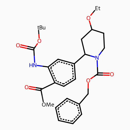 CCOC1CCN(C(=O)OCc2ccccc2)C(c2ccc(C(=O)OC)c(NC(=O)OC(C)(C)C)c2)C1